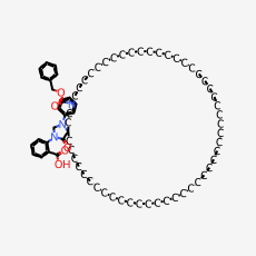 O=C(O)c1ccccc1N1CN(c2ccccc2)C2(CCCCCCCCCCCCCCCCCCCCCCCCCCCCCCCCCCCCCCCCCCCCCCCCN(C(=O)OCc3ccccc3)CC2)C1=O